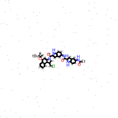 CCC(=O)Nc1ccc2[nH]c(C(=O)Nc3ccc4[nH]c(C(=O)N5CC(CCl)C6C5=CC(O[Si](C)(C)C(C)(C)C)c5ccccc56)cc4c3)cc2c1